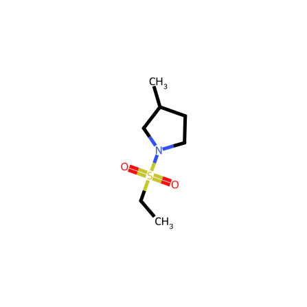 CCS(=O)(=O)N1CCC(C)C1